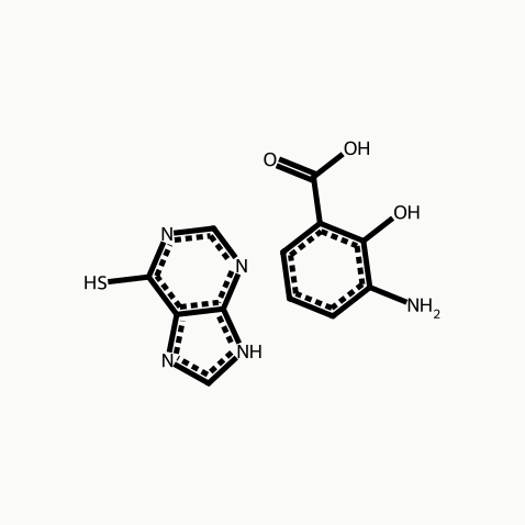 Nc1cccc(C(=O)O)c1O.Sc1ncnc2[nH]cnc12